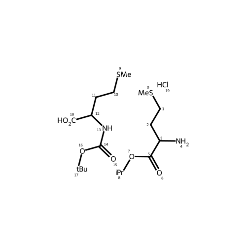 CSCCC(N)C(=O)OC(C)C.CSCCC(NC(=O)OC(C)(C)C)C(=O)O.Cl